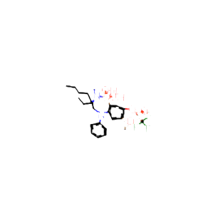 CCCCC1(CC)CN(c2ccccc2)c2cc(SC)c(OS(=O)(=O)C(F)(F)F)cc2S(O)(O)N1C